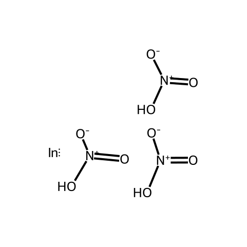 O=[N+]([O-])O.O=[N+]([O-])O.O=[N+]([O-])O.[In]